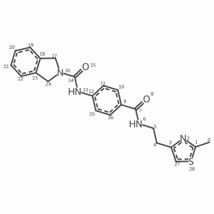 Cc1nc(CCNC(=O)c2ccc(NC(=O)N3Cc4ccccc4C3)cc2)cs1